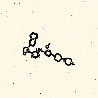 COc1cc(N2CCC(N3CCN(C)CC3)CC2)ccc1Nc1cc(N2OCCC2c2ccc3ccccc3c2)ncn1